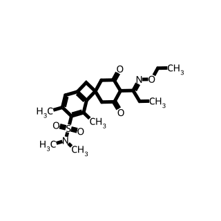 CCON=C(CC)C1C(=O)CC2(CC1=O)Cc1cc(C)c(S(=O)(=O)N(C)C)c(C)c12